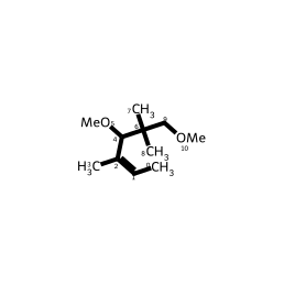 C/C=C(/C)C(OC)C(C)(C)COC